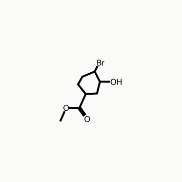 COC(=O)C1CCC(Br)C(O)C1